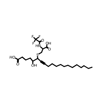 CCCCCCCCCCCCC#CC(SCC(NC(=O)C(F)(F)F)C(=O)O)C(O)CCCC(=O)O